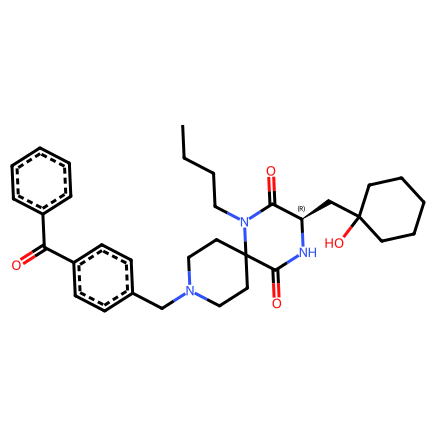 CCCCN1C(=O)[C@@H](CC2(O)CCCCC2)NC(=O)C12CCN(Cc1ccc(C(=O)c3ccccc3)cc1)CC2